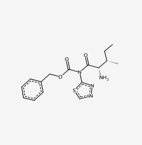 CC[C@H](C)[C@H](N)C(=O)N(C(=O)OCc1ccccc1)c1nncs1